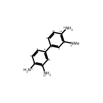 CNc1cc(-c2ccc(N)c(N)c2)ccc1N